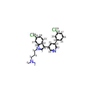 CN(C)CCCn1cc(-c2cncc(-c3cccc(Cl)c3)c2)c2ccc(Cl)cc21